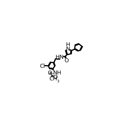 CS(=O)(=O)Nc1cc(Cl)cc(CCNC(=O)c2c[nH]c(-c3ccccc3)c2)c1